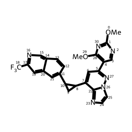 COc1ncc(-c2cc(C3CC3c3ccc4cnc(C(F)(F)F)cc4c3)c3nccn3n2)c(OC)n1